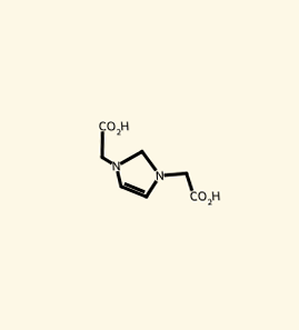 O=C(O)CN1C=CN(CC(=O)O)C1